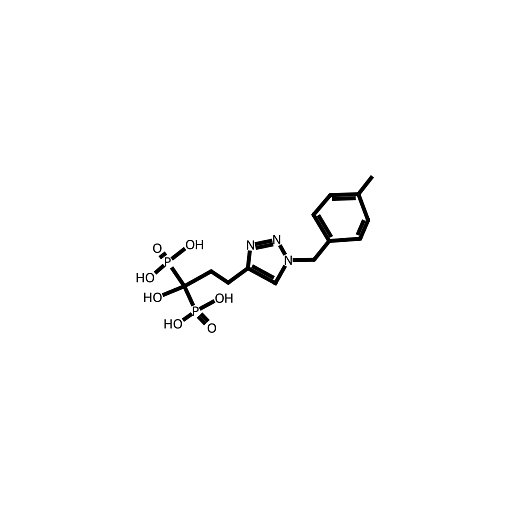 Cc1ccc(Cn2cc(CCC(O)(P(=O)(O)O)P(=O)(O)O)nn2)cc1